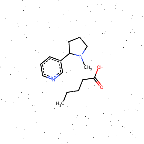 CCCCC(=O)O.CN1CCCC1c1cccnc1